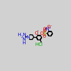 COc1c(OS(=O)(=O)c2ccccc2[N+](=O)[O-])cc(C)cc1C1CCN(C(=N)N)CC1.Cl